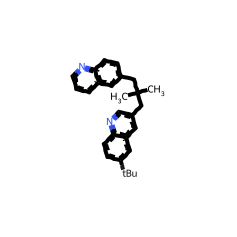 CC(C)(Cc1ccc2ncccc2c1)Cc1cnc2ccc(C(C)(C)C)cc2c1